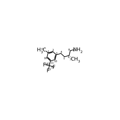 Cc1cc(CC[C@@H](C)CN)cc(C(F)(F)F)c1